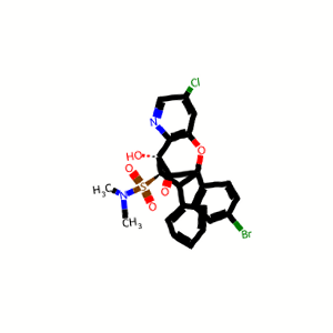 CN(C)S(=O)(=O)[C@@H]1C(c2ccccc2)C2(c3ccc(Br)cc3)Oc3cc(Cl)cnc3[C@@]1(O)C2=O